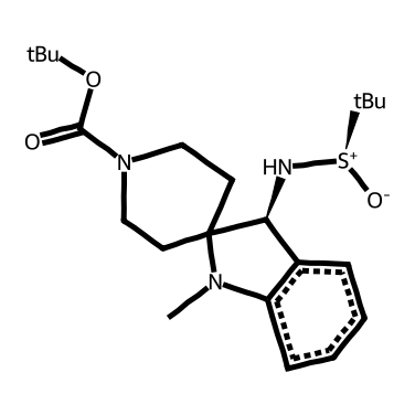 CN1c2ccccc2[C@H](N[S@+]([O-])C(C)(C)C)C12CCN(C(=O)OC(C)(C)C)CC2